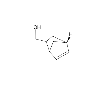 OCC1C[C@@H]2C=CC1C2